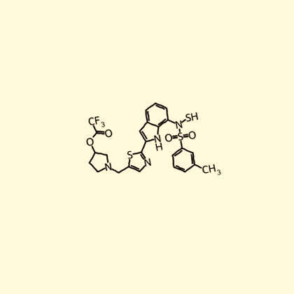 Cc1cccc(S(=O)(=O)N(S)c2cccc3cc(-c4ncc(CN5CCC(OC(=O)C(F)(F)F)C5)s4)[nH]c23)c1